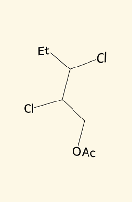 CCC(Cl)C(Cl)COC(C)=O